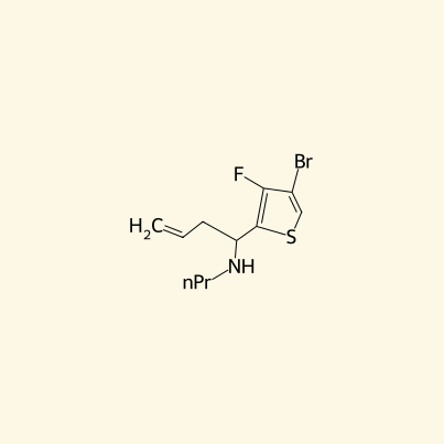 C=CCC(NCCC)c1scc(Br)c1F